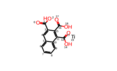 O=C(O)c1cc2ccccc2c(C(=O)O)c1C(=O)O.[Ti]